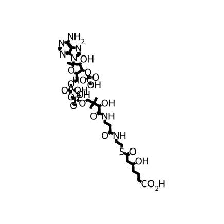 CC(C)(COP(=O)(O)OP(=O)(O)OCC1OC(C)(n2cnc3c(N)ncnc32)C(O)C1OP(=O)(O)O)C(O)C(=O)NCCC(=O)NCCSC(=O)CC(O)CCCC(=O)O